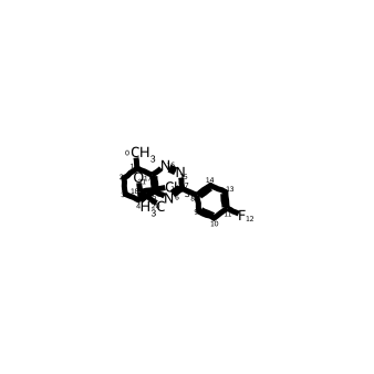 CC12CCC(c3nc(-c4ccc(F)cc4)nnc31)C(C)(C)O2